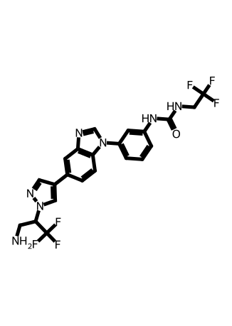 NCC(n1cc(-c2ccc3c(c2)ncn3-c2cccc(NC(=O)NCC(F)(F)F)c2)cn1)C(F)(F)F